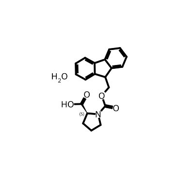 O.O=C(O)[C@@H]1CCCN1C(=O)OCC1c2ccccc2-c2ccccc21